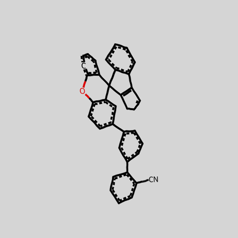 N#Cc1ccccc1-c1cccc(-c2ccc3c(c2)C2(C4=C(C=CCC4)c4ccccc42)c2ccccc2O3)c1